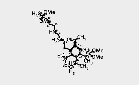 CCN(CC)c1c(CC[SiH2]CNCCC[Si](C)(OC)OC)c([SiH](C)C)cc(C(C)[Si](OC)(OC)OC)c1[SiH](C)C